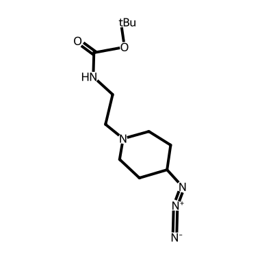 CC(C)(C)OC(=O)NCCN1CCC(N=[N+]=[N-])CC1